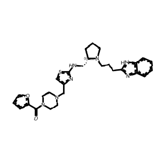 O=C(c1ccco1)N1CCN(Cc2csc(NC[C@@H]3CCCN3CCCc3nc4ccccc4[nH]3)n2)CC1